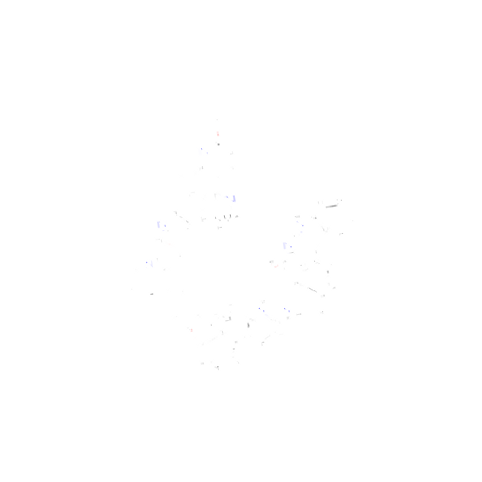 C=C1NC(=O)CCC1C(=N)c1ccc(NC(=O)CN2CCCC(CCCOc3cccc(-c4ccc(N5CCc6cccc(C(=O)Nc7nc8c(s7)CCC=C8)c6C5)nc4C(=O)O)c3C)C2)cc1NC